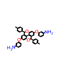 Cc1ccc(C(=O)c2cc(Oc3cccc(N)c3)ccc2-c2ccc(Oc3cccc(N)c3)cc2C(=O)c2ccc(C)cc2)cc1